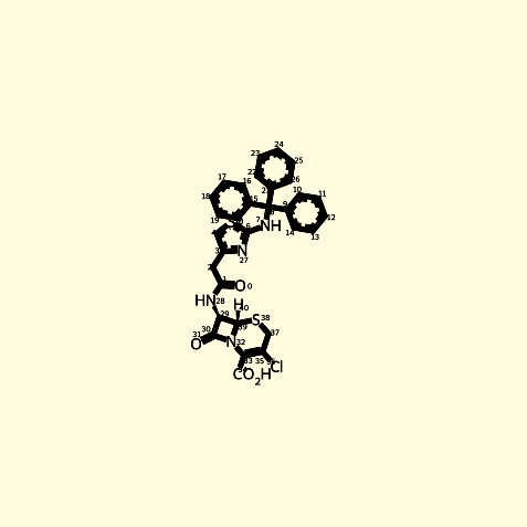 O=C(Cc1csc(NC(c2ccccc2)(c2ccccc2)c2ccccc2)n1)N[C@@H]1C(=O)N2C(C(=O)O)=C(Cl)CS[C@@H]12